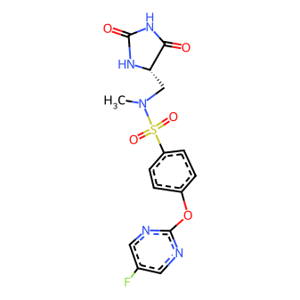 CN(C[C@@H]1NC(=O)NC1=O)S(=O)(=O)c1ccc(Oc2ncc(F)cn2)cc1